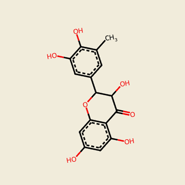 Cc1cc(C2Oc3cc(O)cc(O)c3C(=O)C2O)cc(O)c1O